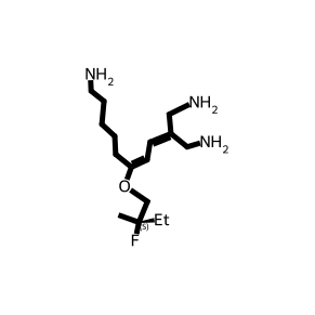 CC[C@](C)(F)COC(=CC=C(CN)CN)CCCCCN